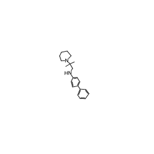 CC(C)(CNc1ccc(-c2ccccc2)cc1)N1CCCCC1